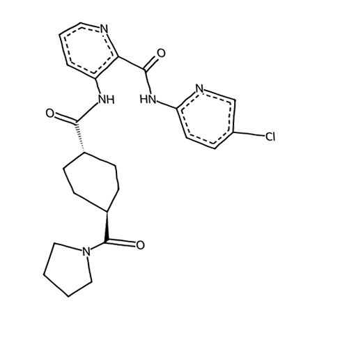 O=C(Nc1ccc(Cl)cn1)c1ncccc1NC(=O)[C@H]1CC[C@H](C(=O)N2CCCC2)CC1